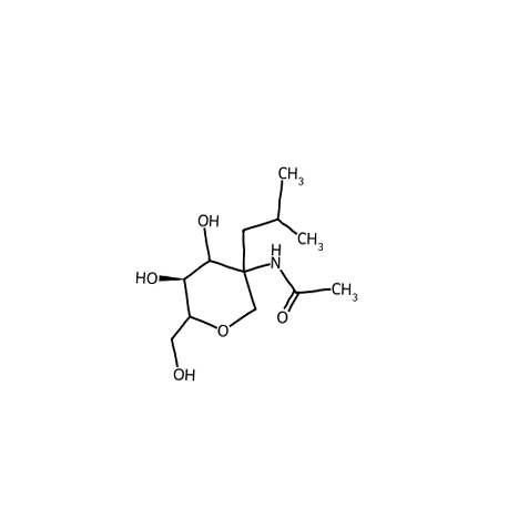 CC(=O)NC1(CC(C)C)COC(CO)[C@@H](O)C1O